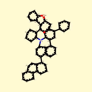 c1ccc(-c2ccc(N(c3ccc(-c4cccc5c4ccc4ccccc45)cc3)c3ccccc3-c3cccc4oc5ccccc5c34)c(-c3ccccc3)c2)cc1